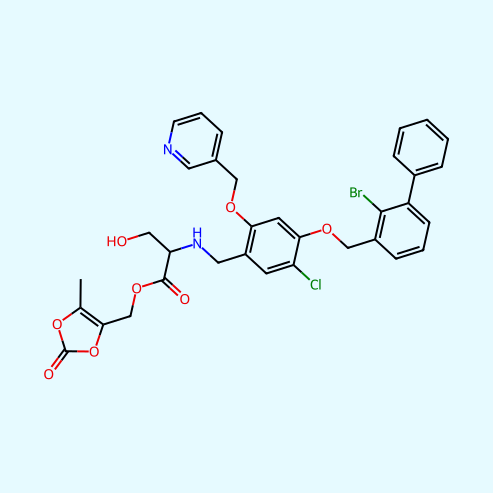 Cc1oc(=O)oc1COC(=O)C(CO)NCc1cc(Cl)c(OCc2cccc(-c3ccccc3)c2Br)cc1OCc1cccnc1